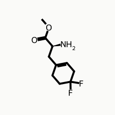 COC(=O)[C@@H](N)CC1=CCC(F)(F)CC1